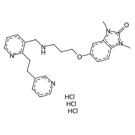 Cl.Cl.Cl.Cn1c(=O)n(C)c2cc(OCCCNCc3cccnc3CCc3cccnc3)ccc21